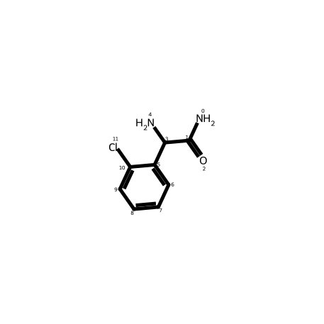 NC(=O)C(N)c1ccccc1Cl